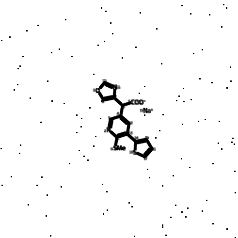 CSc1ncc(C(C(=O)[O-])c2cocn2)cc1-c1cccs1.[Na+]